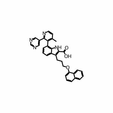 Cc1ccnc(-c2cncnc2)c1-c1cccc2c(CCCOc3cccc4ccccc34)c(C(=O)O)[nH]c12